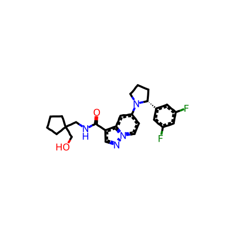 O=C(NCC1(CO)CCCC1)c1cnn2ccc(N3CCC[C@@H]3c3cc(F)cc(F)c3)cc12